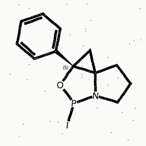 IP1O[C@]2(c3ccccc3)CC23CCCN13